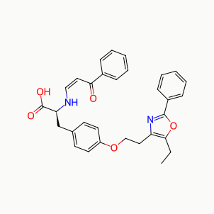 CCc1oc(-c2ccccc2)nc1CCOc1ccc(C[C@H](N/C=C\C(=O)c2ccccc2)C(=O)O)cc1